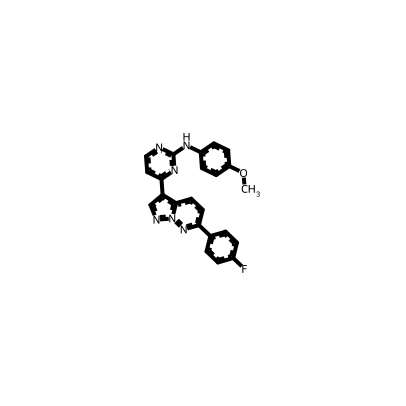 COc1ccc(Nc2nccc(-c3cnn4nc(-c5ccc(F)cc5)ccc34)n2)cc1